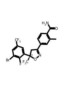 Cc1cc(C2=NO[C@@](c3cc(C(F)(F)F)cc(Br)c3F)(C(F)(F)F)C2)ccc1C(N)=O